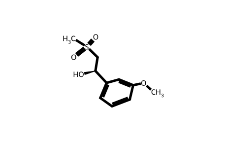 COc1cccc([C@@H](O)CS(C)(=O)=O)c1